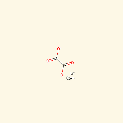 O=C([O-])C(=O)[O-].[Co+2].[Li+]